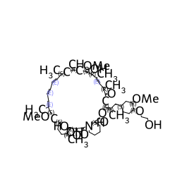 CO[C@H]1C[C@@H]2CC[C@@H](C)[C@@](O)(O2)C(=O)C(=O)N2CCCC[C@H]2C(=O)O[C@H]([C@H](C)C[C@@H]2CC[C@@H](OCCO)[C@H](OC)C2)CC(=O)[C@H](C)/C=C(\C)[C@@H](O)[C@@H](OC)C[C@H](C)C[C@H](C)/C=C/C=C/C=C/1C